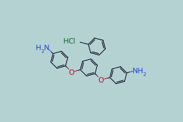 Cc1ccccc1.Cl.Nc1ccc(Oc2cccc(Oc3ccc(N)cc3)c2)cc1